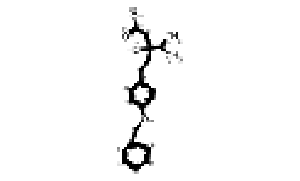 CC(C)C(O)(CCc1ccc(OCc2ccccc2)cc1)CC(=O)O